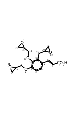 O=C(O)C=Cc1ccc(OCC2CO2)c(OCC2CO2)c1CC1CO1